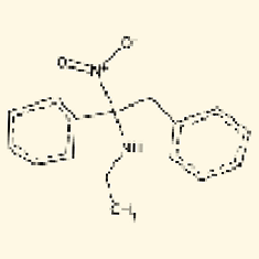 CCNC(Cc1ccccc1)(c1ccccc1)[N+](=O)[O-]